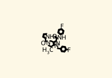 CC1CN(C(=O)c2ccc[nH]2)Cc2c(C(=O)Nc3ccc(F)cc3)nn(Cc3ccc(F)cc3)c21